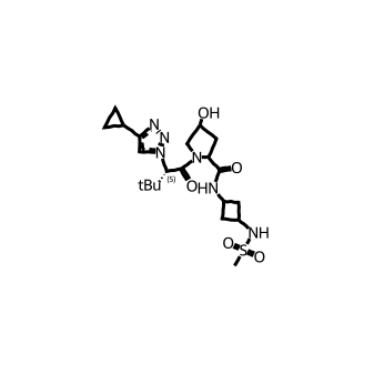 CC(C)(C)[C@@H](C(=O)N1CC(O)CC1C(=O)NC1CC(NS(C)(=O)=O)C1)n1cc(C2CC2)nn1